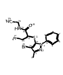 Cc1nn(-c2ccccc2)c(SC(CC(C)C)C(=O)NCC#N)c1Br